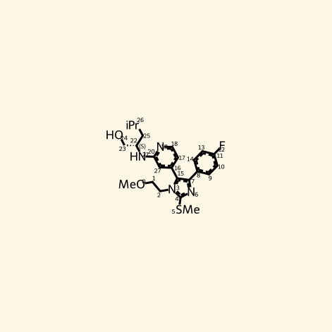 COCCn1c(SC)nc(-c2ccc(F)cc2)c1-c1ccnc(N[C@H](CO)CC(C)C)c1